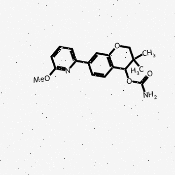 COc1cccc(-c2ccc3c(c2)OCC(C)(C)C3OC(N)=O)n1